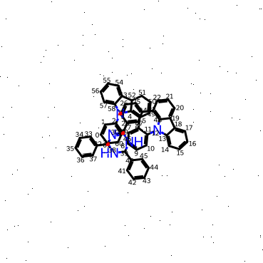 C1=CC(N2C3=C(c4ccccc4-n4c5ccccc5c5cccc(-c6cccc(C7=NC(c8ccccc8)NC(c8ccccc8)N7)c6)c54)C=CCC3c3ccccc32)=CCC1